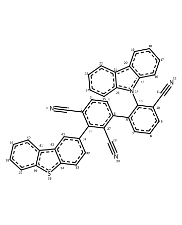 N#Cc1ccc(-c2cccc(C#N)c2-n2c3ccccc3c3ccccc32)c(C#N)c1-c1ccc2sc3ccccc3c2c1